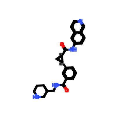 O=C(NCC1CCCNC1)c1cccc([C@@H]2C[C@H]2C(=O)Nc2ccc3cnccc3c2)c1